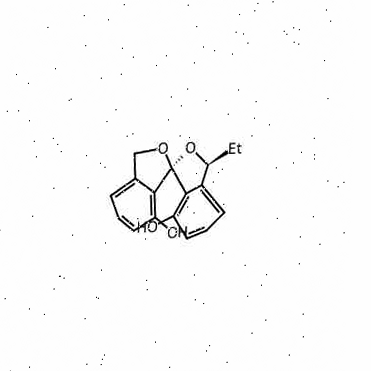 CC[C@@H]1O[C@]2(OCc3cccc(O)c32)c2c(O)cccc21